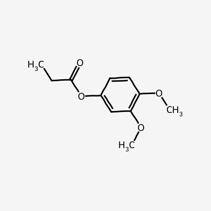 CCC(=O)Oc1ccc(OC)c(OC)c1